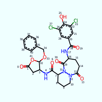 O=C1CC(NC(=O)C2CCCN3C(=O)CCC(NC(=O)c4cc(Cl)c(O)c(Cl)c4)C(=O)N23)C(OCc2ccccc2)O1